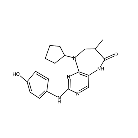 CC1CN(C2CCCC2)c2nc(Nc3ccc(O)cc3)ncc2NC1=O